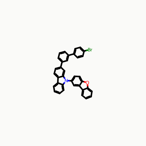 Brc1ccc(-c2cccc(-c3ccc4c5ccccc5n(-c5ccc6oc7ccccc7c6c5)c4c3)c2)cc1